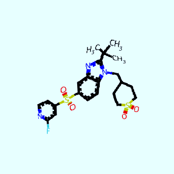 CC(C)(C)c1nc2cc(S(=O)(=O)c3ccnc(F)c3)ccc2n1CC1CCS(=O)(=O)CC1